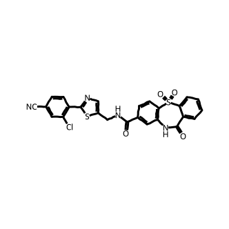 N#Cc1ccc(-c2ncc(CNC(=O)c3ccc4c(c3)NC(=O)c3ccccc3S4(=O)=O)s2)c(Cl)c1